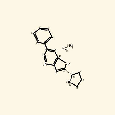 Cl.Cl.c1ccc(-c2cnc3cc([C@@H]4CCCN4)oc3c2)cc1